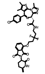 C=C1CCC(N2C(=O)c3cccc(OCCC(F)(F)CCNC(=O)C[C@@H]4N=C(c5ccc(Cl)cc5)c5c(sc(C)c5C)-n5c(C)nnc54)c3C2=O)C(=O)N1